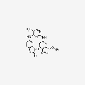 COc1ccc(Nc2ncc(C)c(Nc3ccc4oc(=O)[nH]c4c3)n2)cc1COC(C)C